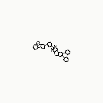 Cc1cc2c3ccccc3c3ccccc3c2cc1-c1cnc(-c2cccc(-c3ccc4c(c3)oc3ccccc34)c2)nc1C